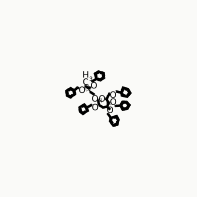 C[C@@H](OCc1ccccc1)[C@H](CCO[C@H]1OC(COCc2ccccc2)[C@H](OCc2ccccc2)C(OCc2ccccc2)CC1OCc1ccccc1)OCc1ccccc1